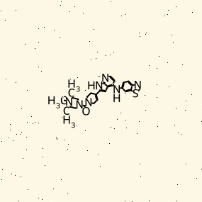 CC1CN(C(=O)N2CC=C(c3cc4c(Nc5ccc6ncsc6c5)ccnc4[nH]3)CC2)CC(C)N1C